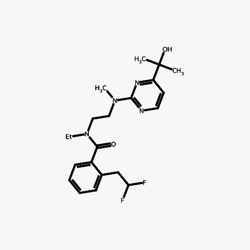 CCN(CCN(C)c1nccc(C(C)(C)O)n1)C(=O)c1ccccc1CC(F)F